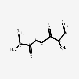 CCC(C)C(=O)CCC(=O)N(C)C